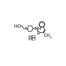 CC(=Cc1ccccc1)C1CC1NC1CCN(CCO)CC1.Cl.Cl